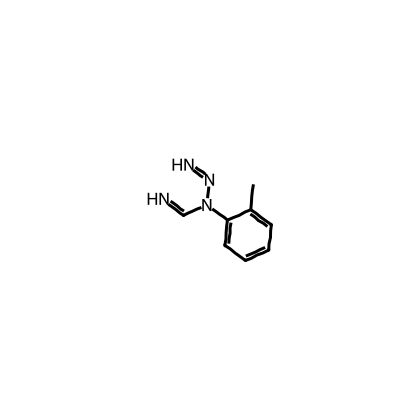 Cc1ccccc1N(C=N)N=N